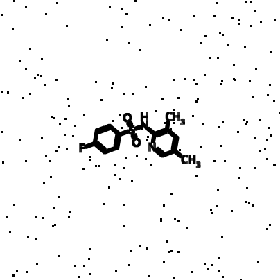 Cc1cnc(NS(=O)(=O)c2ccc(F)cc2)c(C)c1